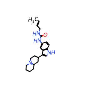 CC=CCNC(=O)Nc1ccc2[nH]cc(C3CCN4CCCCC4C3)c2c1